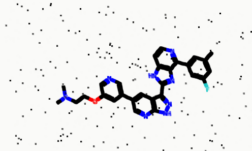 Cc1cc(F)cc(-c2nccc3[nH]c(-c4n[nH]c5ncc(-c6cncc(OCCN(C)C)c6)cc45)nc23)c1